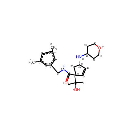 CC(C)(O)[C@]1(C(=O)NCc2cc(C(F)(F)F)cc(C(F)(F)F)c2)C=C[C@@H](NC2CCOCC2)C1